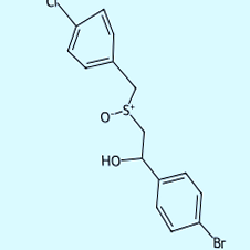 [O-][S+](Cc1ccc(Cl)cc1)CC(O)c1ccc(Br)cc1